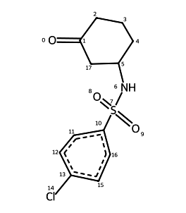 O=C1CCCC(NS(=O)(=O)c2ccc(Cl)cc2)C1